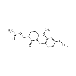 COc1ccc(CN2CCCC(COC(C)=O)C2=O)c(OC)c1